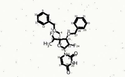 CC(F)[C@]1(COCc2ccccc2)O[C@@H](n2ccc(=O)[nH]c2=O)[C@H](F)[C@@H]1OCc1ccccc1